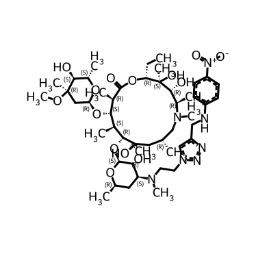 CC[C@H]1OC(=O)[C@H](C)[C@@H](O[C@H]2C[C@@](C)(OC)[C@@H](O)[C@H](C)O2)[C@H](C)[C@@H](O[C@@H]2O[C@H](C)C[C@H](N(C)CCn3cc(CNc4ccc([N+](=O)[O-])cc4)nn3)[C@H]2O)[C@](C)(O)C[C@@H](C)CN(C)[C@H](C)[C@@H](O)[C@]1(C)O